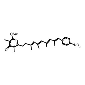 COc1oc(CC/C(C)=C/C(C)=C/C(C)=C/C(C)=C/c2ccc([N+](=O)[O-])cc2)c(C)c(=O)c1C